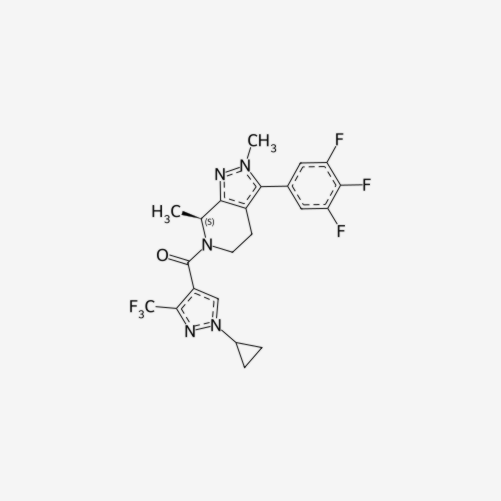 C[C@H]1c2nn(C)c(-c3cc(F)c(F)c(F)c3)c2CCN1C(=O)c1cn(C2CC2)nc1C(F)(F)F